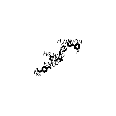 Cc1ncsc1-c1ccc(C(C)NC(=O)[C@@H]2C[C@@H](O)CN2C(=O)C(NC(=O)CN2CCN(c3cc(-c4cc(F)ccc4O)nnc3N)CC2)C(C)(C)C)cc1